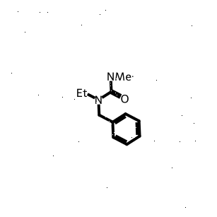 CCN(Cc1ccccc1)C(=O)[N]C